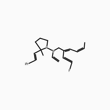 C=CN(CC(/C=C/F)=C/C=C\C)N1CCCC1(C)/C=C/C(C)C